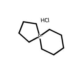 C1CC[P]2(CC1)CCCC2.Cl